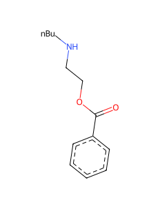 CCCCNCCOC(=O)c1ccccc1